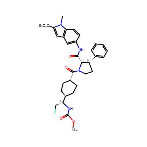 CCOC(=O)c1cc2cc(NC(=O)[C@@H]3[C@H](c4ccccc4)CCN3C(=O)[C@H]3CC[C@H]([C@@H](CF)NC(=O)OC(C)(C)C)CC3)ccc2n1C